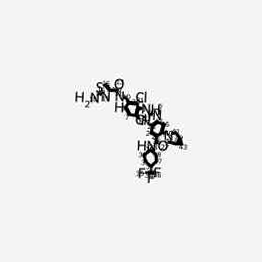 Cn1c(Nc2c(Cl)ccc(CNC(=O)c3csc(N)n3)c2Cl)nc2cc(C(=O)N[C@H]3CC[C@H](C(F)(F)F)CC3)c(N3CC4CC4C3)cc21